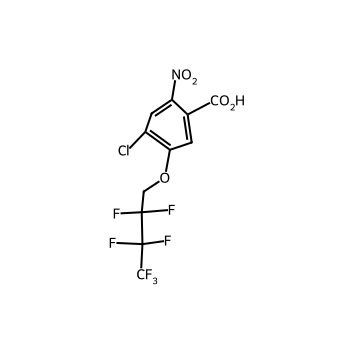 O=C(O)c1cc(OCC(F)(F)C(F)(F)C(F)(F)F)c(Cl)cc1[N+](=O)[O-]